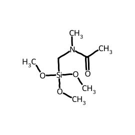 CO[Si](CN(C)C(C)=O)(OC)OC